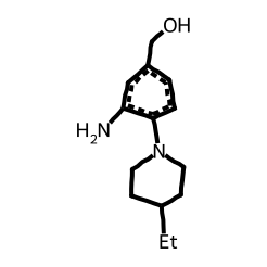 CCC1CCN(c2ccc(CO)cc2N)CC1